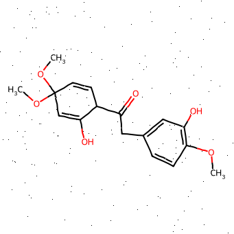 COc1ccc(CC(=O)C2C=CC(OC)(OC)C=C2O)cc1O